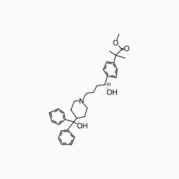 COC(=O)C(C)(C)c1ccc([C@H](O)CCCN2CCC(C(O)(c3ccccc3)c3ccccc3)CC2)cc1